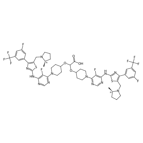 C[C@@H]1CCCN1Cc1sc(Nc2ncnc(N3CCC(OC(OC4CCN(c5ncnc(Nc6nc(-c7cc(F)cc(C(F)(F)F)c7)c(CN7CCC[C@H]7C)s6)c5F)CC4)C(=O)O)CC3)c2F)nc1-c1cc(F)cc(C(F)(F)F)c1